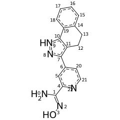 NC(=NO)c1cc(-c2n[nH]c3c2CCc2ccccc2-3)ccn1